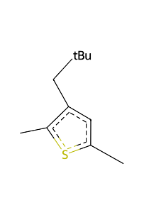 Cc1cc(CC(C)(C)C)c(C)s1